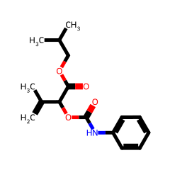 C=C(C)C(OC(=O)Nc1ccccc1)C(=O)OCC(C)C